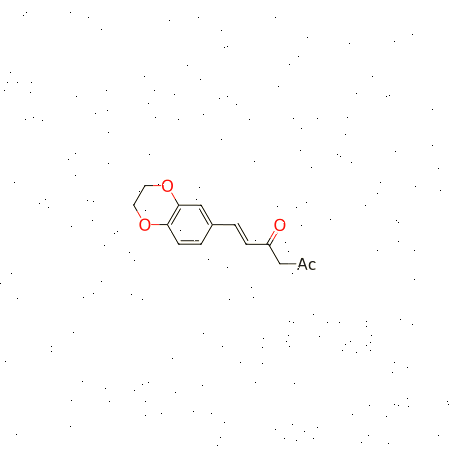 CC(=O)CC(=O)C=Cc1ccc2c(c1)OCCO2